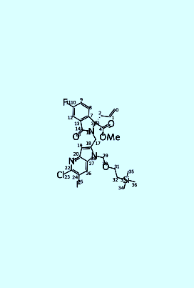 C=CC[C@@]1(C(=O)OC)c2ccc(F)cc2C(=O)N1Cc1cc2nc(Cl)c(F)cc2n1COCC[Si](C)(C)C